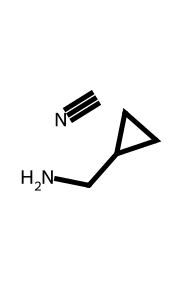 C#N.NCC1CC1